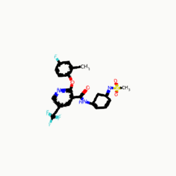 Cc1cc(F)ccc1Oc1ncc(C(F)(F)F)cc1C(=O)NC1=CC=CC(=NS(C)(=O)=O)C1